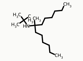 CCCCCCC(C)(CCCCCC)NC(C)(C)C